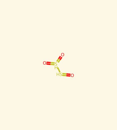 O=[SH][SH](=O)=O